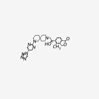 Cc1c([C@@H](O)CN2CCC3(CCCN(c4ncc(-n5cnnn5)cn4)C3)CC2)ccc2c1COC2=O